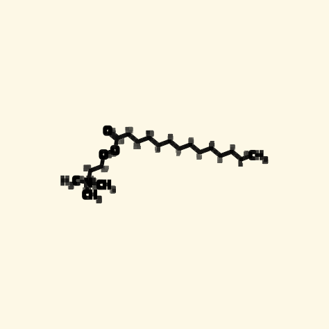 CCCCCCCCCCCCCC(=O)OOCC[N+](C)(C)C